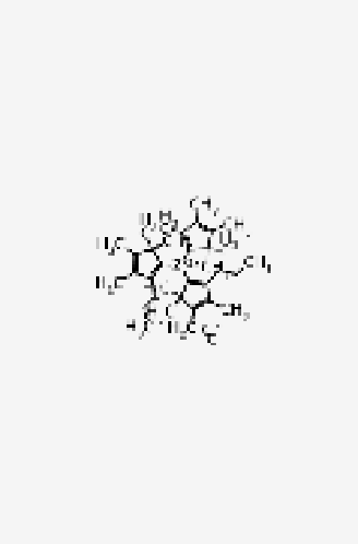 CCCC1=[C]([Zr+2]([C]2=C(C)C(C)=C(C)C2(C)C)[C]2=C(CCC)C(C)=C(C)C2(C)C)C(C)(C)C(C)=C1C.[Cl-].[Cl-]